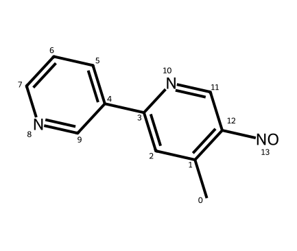 Cc1cc(-c2cccnc2)ncc1N=O